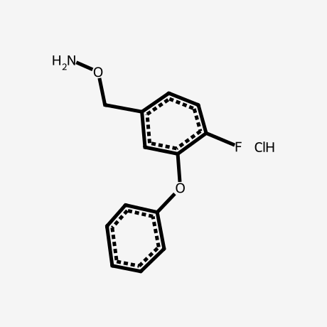 Cl.NOCc1ccc(F)c(Oc2ccccc2)c1